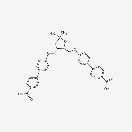 CC1(C)O[C@@H](COc2ccc(-c3ccc(C(=O)O)cc3)cc2)[C@H](COc2ccc(-c3ccc(C(=O)O)cc3)cc2)O1